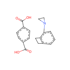 O=C(O)c1ccc(C(=O)O)cc1.c1cc2c(c(N3CC3)c1)CC2